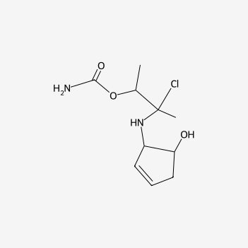 CC(OC(N)=O)C(C)(Cl)NC1C=CCC1O